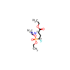 CCOC(=O)[C@@H](N)C[C@@H](F)P(=O)(OCC)OCC